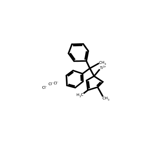 CC1=C[C]([Ti+3])(C(C)(c2ccccc2)c2ccccc2)C=C1C.[Cl-].[Cl-].[Cl-]